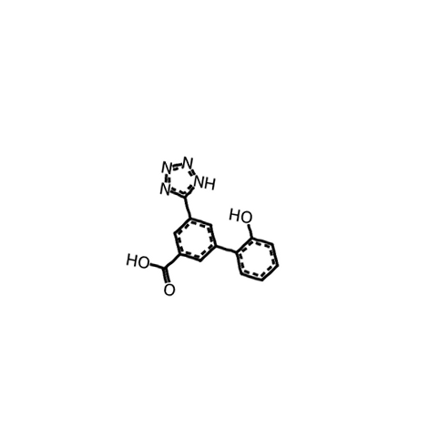 O=C(O)c1cc(-c2nnn[nH]2)cc(-c2ccccc2O)c1